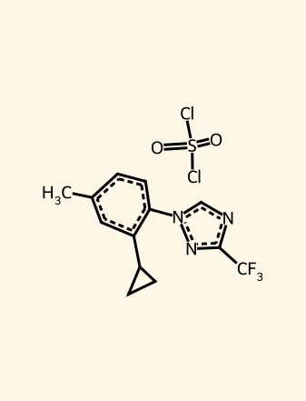 Cc1ccc(-n2cnc(C(F)(F)F)n2)c(C2CC2)c1.O=S(=O)(Cl)Cl